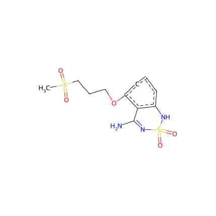 CS(=O)(=O)CCCOc1cccc2c1C(N)=NS(=O)(=O)N2